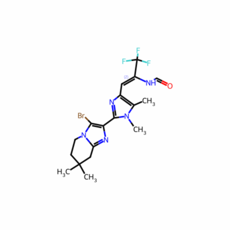 Cc1c(/C=C(\NC=O)C(F)(F)F)nc(-c2nc3n(c2Br)CCC(C)(C)C3)n1C